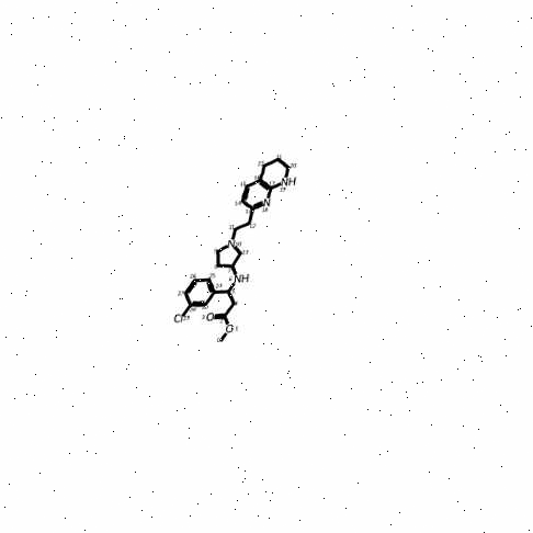 COC(=O)CC(NC1CCN(CCc2ccc3c(n2)NCCC3)C1)c1cccc(Cl)c1